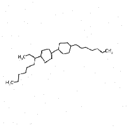 CCCCCCCC1CCC(C2CCC(C(CC)CCCCCC)CC2)CC1